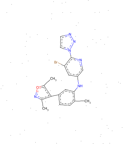 Cc1ccc(-c2c(C)noc2C)cc1Nc1cnc(-n2ccnn2)c(Br)c1